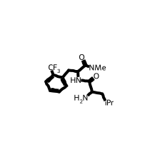 CNC(=O)C(Cc1ccccc1C(F)(F)F)NC(=O)C(N)CC(C)C